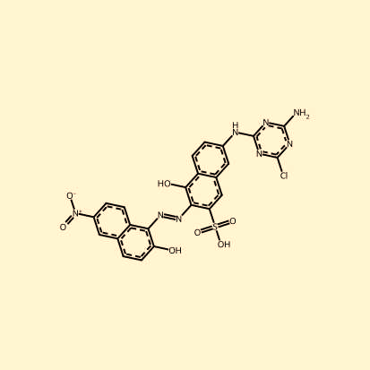 Nc1nc(Cl)nc(Nc2ccc3c(O)c(N=Nc4c(O)ccc5cc([N+](=O)[O-])ccc45)c(S(=O)(=O)O)cc3c2)n1